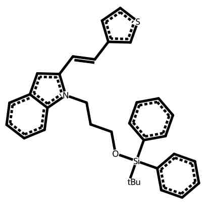 CC(C)(C)[Si](OCCCn1c(C=Cc2ccsc2)cc2ccccc21)(c1ccccc1)c1ccccc1